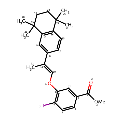 COC(=O)c1ccc(I)c(O/C=C(\C)c2ccc3c(c2)C(C)(C)CCC3(C)C)c1